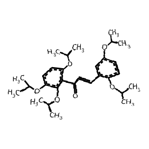 CC(C)Oc1ccc(OC(C)C)c(/C=C/C(=O)c2c(OC(C)C)ccc(OC(C)C)c2OC(C)C)c1